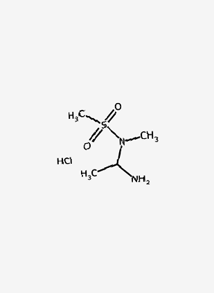 CC(N)N(C)S(C)(=O)=O.Cl